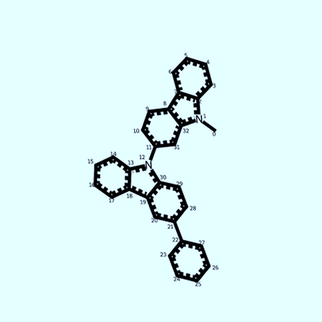 Cn1c2ccccc2c2ccc(-n3c4ccccc4c4cc(-c5ccccc5)ccc43)cc21